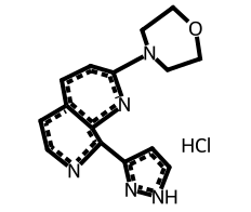 Cl.c1cc2ccc(N3CCOCC3)nc2c(-c2cc[nH]n2)n1